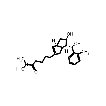 Cc1ccccc1[C@H](O)[C@@H]1[C@H]2CC(CCCCC(=O)N(C)C)=C[C@H]2C[C@H]1O